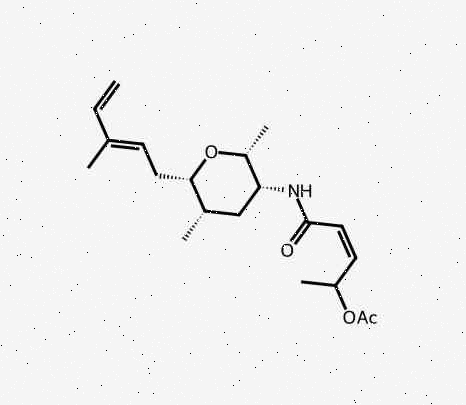 C=C/C(C)=C/C[C@@H]1O[C@H](C)[C@H](NC(=O)/C=C\C(C)OC(C)=O)C[C@@H]1C